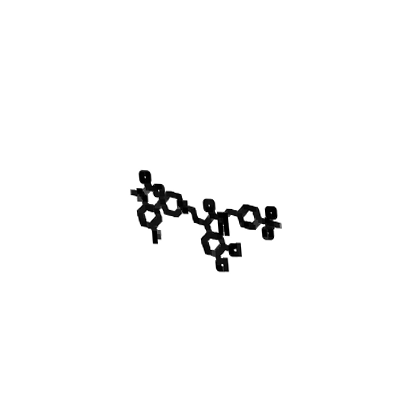 CN1C(=O)OC2(CCN(CCC(C(=O)NCc3ccc(S(C)(=O)=O)cc3)c3ccc(Cl)c(Cl)c3)CC2)c2cc(F)ccc21